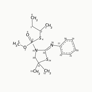 CCC(C)SP(=O)(OC)N1CC(C)(C)SC1=Nc1ccccc1